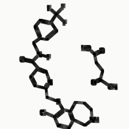 O=C(O)CCC(=O)O.O=C(c1ccc(CSc2c(Cl)ccc3c2CCCNC3)nc1)N(F)Cc1ccc(C(F)(F)F)cc1